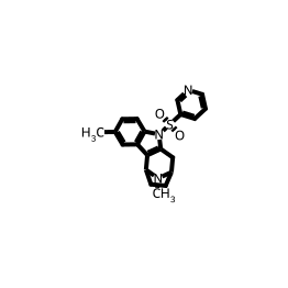 Cc1ccc2c(c1)c1c(n2S(=O)(=O)c2cccnc2)CC2CCC1N2C